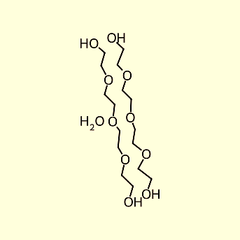 O.OCCOCCOCCOCCO.OCCOCCOCCOCCO